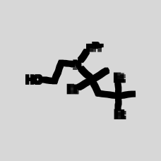 CCCN(CCO)C(C)(CC)CC(C)(CC)CC